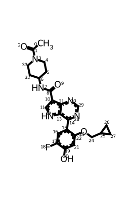 CC(=O)N1CCC(NC(=O)c2c[nH]c3c(-c4cc(F)c(O)cc4OCC4CC4)ncnc23)CC1